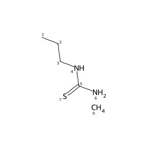 C.CCCNC(N)=S